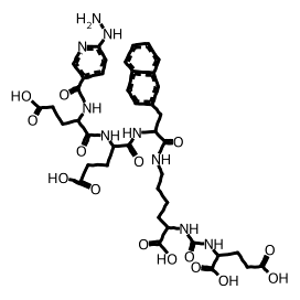 NNc1ccc(C(=O)NC(CCC(=O)O)C(=O)NC(CCC(=O)O)C(=O)NC(Cc2ccc3ccccc3c2)C(=O)NCCCCC(NC(=O)NC(CCC(=O)O)C(=O)O)C(=O)O)cn1